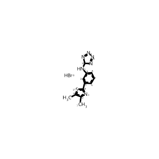 Br.Cc1nc(-c2cccc(NC3N=NN=N3)c2)sc1C